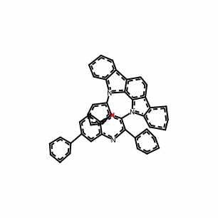 c1ccc(-c2ccc3nc(-n4c5ccccc5c5ccc6c7ccccc7n(-c7ccccc7)c6c54)c(-c4ccccc4)nc3c2)cc1